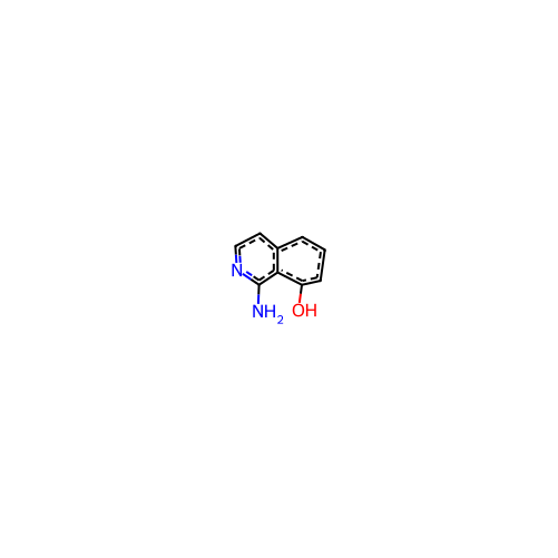 Nc1nccc2cccc(O)c12